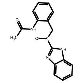 CC(=O)Nc1ccccc1C[S+]([O-])c1nc2ccccc2[nH]1